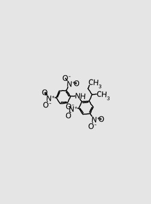 CCC(C)c1cc([N+](=O)[O-])cc([N+](=O)[O-])c1Nc1ccc([N+](=O)[O-])cc1[N+](=O)[O-]